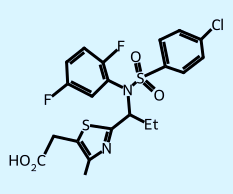 CCC(c1nc(C)c(CC(=O)O)s1)N(c1cc(F)ccc1F)S(=O)(=O)c1ccc(Cl)cc1